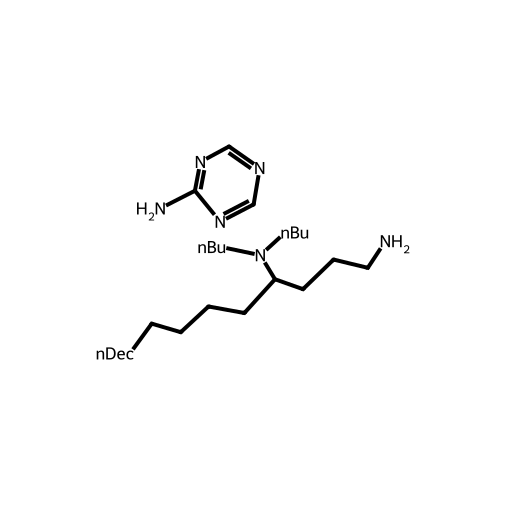 CCCCCCCCCCCCCCC(CCCN)N(CCCC)CCCC.Nc1ncncn1